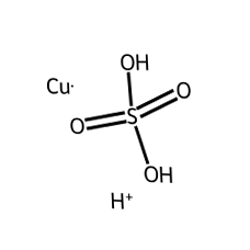 O=S(=O)(O)O.[Cu].[H+]